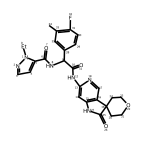 CCn1nccc1C(=O)NC(C(=O)Nc1cc2c(cn1)C1(CCOCC1)C(=O)N2)c1ccc(F)c(C)c1